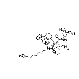 C#CCCCCCCCN1C(=O)[C@@]2(c3ccc(Cl)cc31)[C@@H](c1cccc(Cl)c1F)[C@H](C(=O)N[C@H]1C[C@@](C)(O)C1)N(C)C21CCCCC1